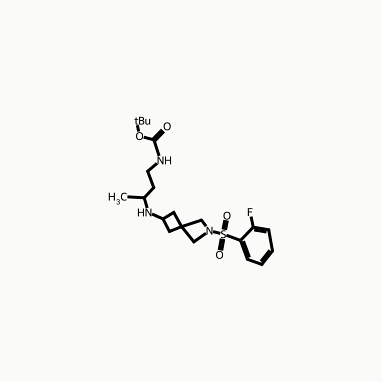 CC(CCNC(=O)OC(C)(C)C)NC1CC2(C1)CN(S(=O)(=O)c1ccccc1F)C2